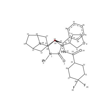 CC(C)N1C(=O)N(C2CCOC2)CC12CC1CCC(C2)N1CC[C@H](NC(=O)C1CCC(F)(F)CC1)c1ccccc1